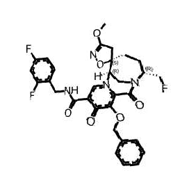 COC1=NO[C@@]2(CC[C@H](CF)N3C[C@H]2n2cc(C(=O)NCc4ccc(F)cc4F)c(=O)c(OCc4ccccc4)c2C3=O)C1